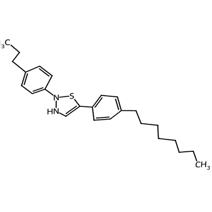 CCCCCCCCc1ccc(C2=CNN(c3ccc(CCC)cc3)S2)cc1